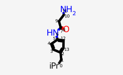 CC(C)Cc1ccc(NC(=O)CCN)cc1